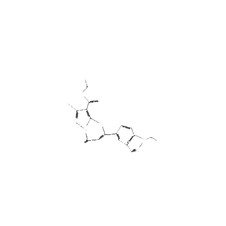 CCOC(=O)c1c(C)nn2c(=O)cc(-c3ccc4c(cnn4CC)c3)[nH]c12